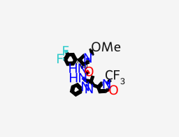 COCCN1C[C@@H](NC(=O)Nc2c(C)c(-c3ccc(=O)n(CC(F)(F)F)c3)nn2-c2ccccc2)[C@H](c2ccc(F)c(F)c2)C1